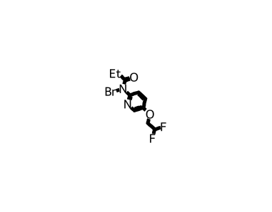 CCC(=O)N(Br)c1ccc(OCC(F)F)cn1